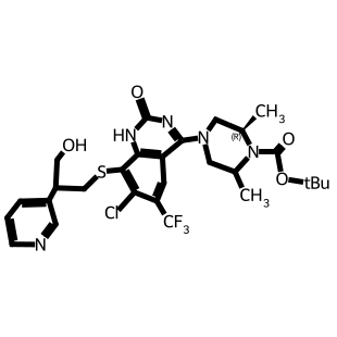 CC1CN(c2nc(=O)[nH]c3c(SCC(CO)c4cccnc4)c(Cl)c(C(F)(F)F)cc23)C[C@@H](C)N1C(=O)OC(C)(C)C